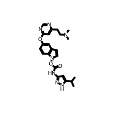 CC(C)c1cc(NC(=O)On2ccc3cc(Oc4cc(CCN(C)C)ncn4)ccc32)n[nH]1